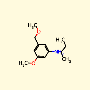 CCCC.COCc1cc(N)cc(OC)c1